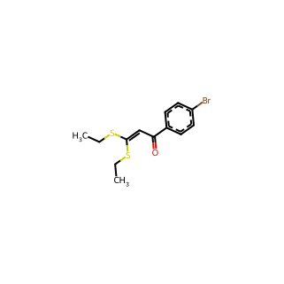 CCSC(=CC(=O)c1ccc(Br)cc1)SCC